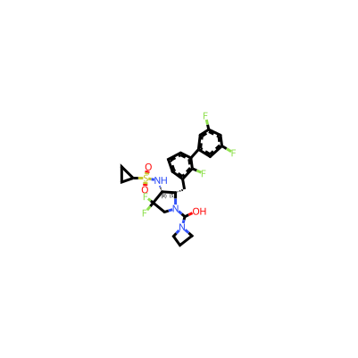 O=S(=O)(N[C@@H]1[C@H](Cc2cccc(-c3cc(F)cc(F)c3)c2F)N(C(O)N2CCC2)CC1(F)F)C1CC1